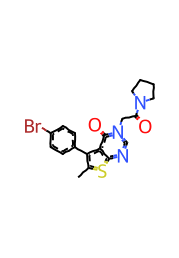 Cc1sc2ncn(CC(=O)N3CCCC3)c(=O)c2c1-c1ccc(Br)cc1